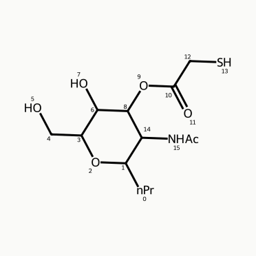 CCCC1OC(CO)C(O)C(OC(=O)CS)C1NC(C)=O